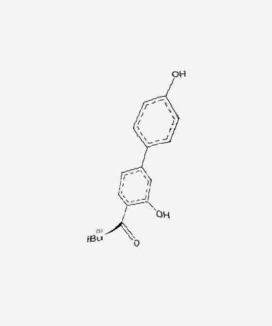 CC[C@H](C)C(=O)c1ccc(-c2ccc(O)cc2)cc1O